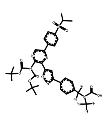 [2H]C([2H])([2H])N(C(=O)O)C([2H])([2H])c1ccc(-c2cc(-c3nc(-c4ccc(S(=O)(=O)C(C)C)cc4)cnc3N(C(=O)OC(C)(C)C)C(=O)OC(C)(C)C)on2)cc1